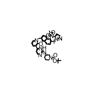 Cc1ccc2c(N(c3ccn(C)n3)S(C)(=O)=O)c(F)ccc2c1Oc1ncccc1-c1ccnc(N[C@H]2CCCN(C(=O)OC(C)(C)C)C2)n1